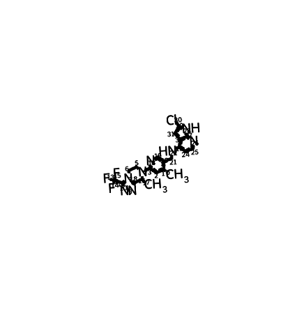 Cc1cc(N2CCn3c(nnc3C(F)(F)F)C2C)ncc1CNc1ccnc2[nH]c(Cl)cc12